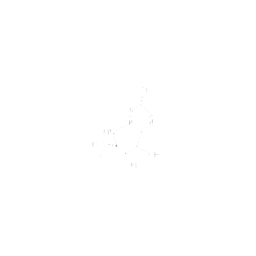 CCc1ccc2c(c1)NC(C)(C)C(O)C2C